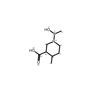 CB(O)N1CCC(C)C(C(=O)O)C1